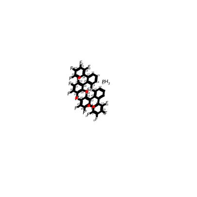 Fc1c(F)c(F)c(-c2cccc([Se]c3cccc(-c4c(F)c(F)c(F)c(F)c4F)c3-c3c(F)c(F)c(F)c(F)c3F)c2-c2c(F)c(F)c(F)c(F)c2F)c(F)c1F.P